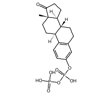 C[C@]12CC[C@@H]3c4ccc(OP(=O)(O)OP(=O)(O)O)cc4CC[C@H]3[C@@H]1CCC2=O